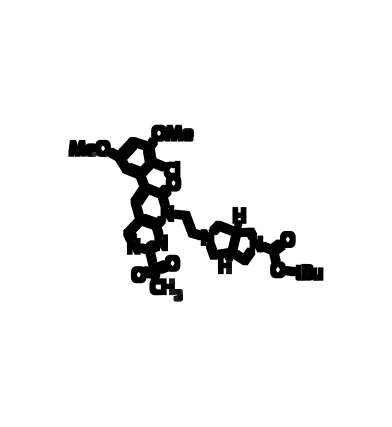 COc1cc(OC)c(Cl)c(-c2cc3cnc(S(C)(=O)=O)nc3n(CCN3C[C@@H]4CN(C(=O)OC(C)(C)C)C[C@@H]4C3)c2=O)c1